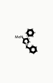 CN[C@@H]1CN(Cc2ccccc2)C[C@H]1c1ccccc1